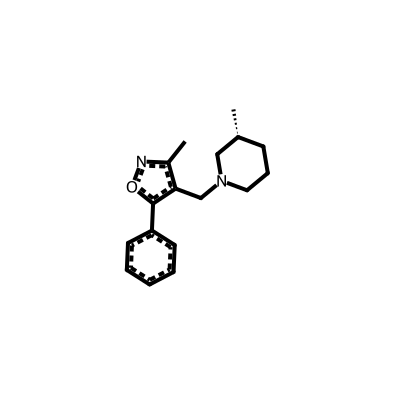 Cc1noc(-c2ccccc2)c1CN1CCC[C@@H](C)C1